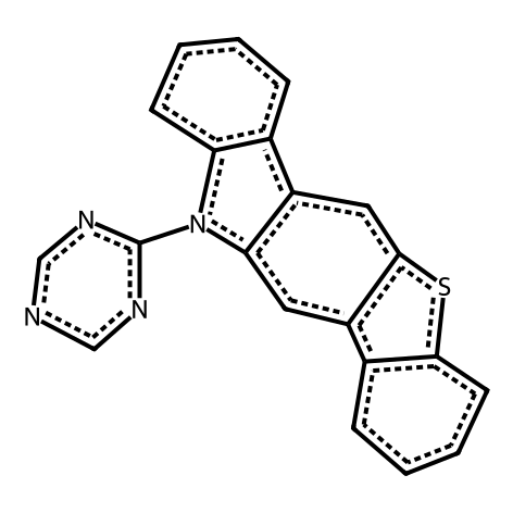 c1ccc2c(c1)sc1cc3c4ccccc4n(-c4ncncn4)c3cc12